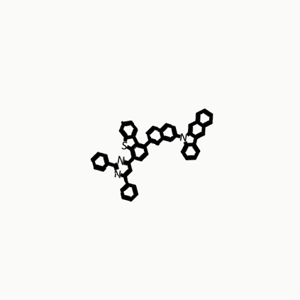 c1ccc(-c2cc(-c3ccc(-c4ccc5ccc(-n6c7ccccc7c7cc8ccccc8cc76)cc5c4)c4c3sc3ccccc34)nc(-c3ccccc3)n2)cc1